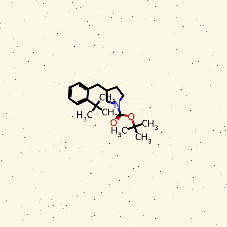 CC(C)(C)OC(=O)N1CCC(Cc2ccccc2C(C)(C)C)C1